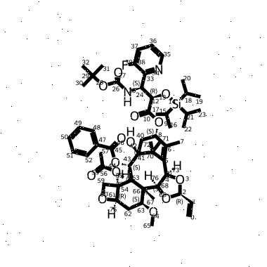 C=C[C@@H]1O[C@@H]2C3=C(C)[C@@H](OC(=O)[C@H](O[Si](C(C)C)(C(C)C)C(C)C)[C@@H](NC(=O)OC(C)(C)C)c4ncccc4F)C[C@@](O)([C@@H](OC(=O)c4ccccc4)[C@@H]4[C@]5(OC(C)=O)CO[C@@H]5C[C@H](OC)[C@@]4(C)[C@@H]2O1)C3(C)C